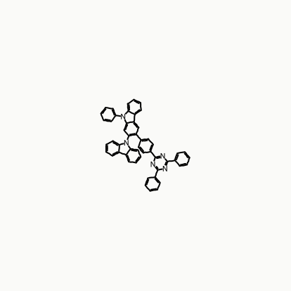 c1ccc(-c2nc(-c3ccccc3)nc(-c3ccc(-c4cc5c6ccccc6n(-c6ccccc6)c5cc4-n4c5ccccc5c5ccccc54)cc3)n2)cc1